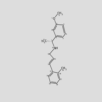 COc1cccc([C@@H](C)NCC=Cc2ccccc2C)c1